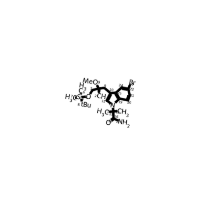 COC(C)(CO[Si](C)(C)C(C)(C)C)Cc1cn(C(C)(C)C(N)=O)c2ccc(Br)cc12